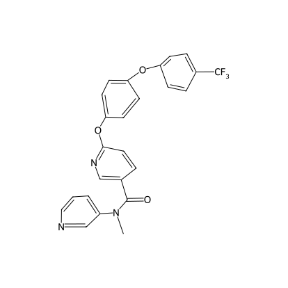 CN(C(=O)c1ccc(Oc2ccc(Oc3ccc(C(F)(F)F)cc3)cc2)nc1)c1cccnc1